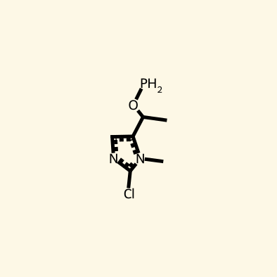 CC(OP)c1cnc(Cl)n1C